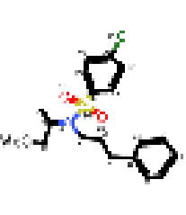 COCC(C)N(CCCc1ccccc1)S(=O)(=O)c1ccc(Cl)cc1